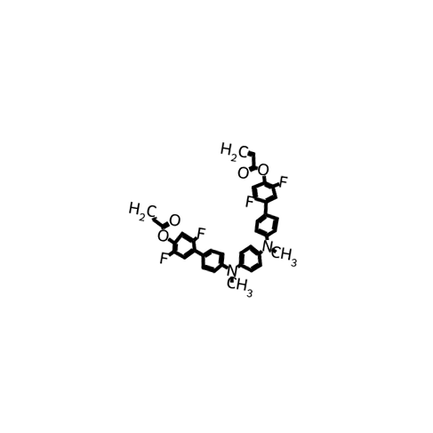 C=CC(=O)Oc1cc(F)c(-c2ccc(N(C)c3ccc(N(C)c4ccc(-c5cc(F)c(OC(=O)C=C)cc5F)cc4)cc3)cc2)cc1F